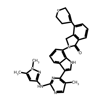 Cc1cnc(Nc2cc(C)n(C)n2)nc1-c1c[nH]c2c(N3Cc4c(cccc4C4=CCSCC4)C3=O)cccc12